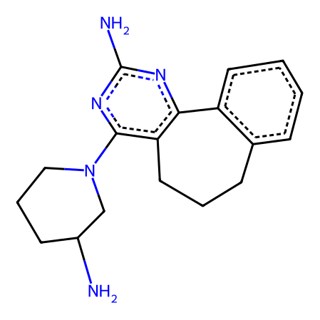 Nc1nc2c(c(N3CCCC(N)C3)n1)CCCc1ccccc1-2